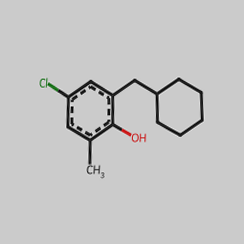 Cc1cc(Cl)cc(CC2CCCCC2)c1O